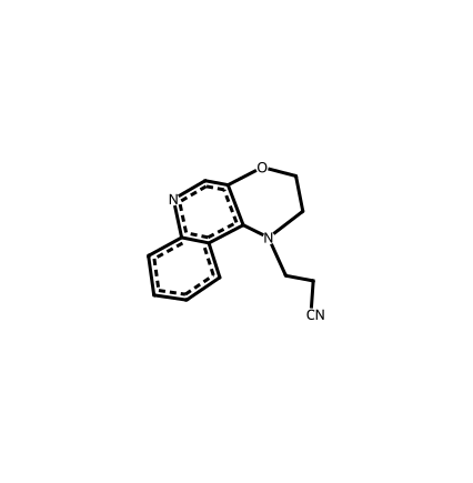 N#CCCN1CCOc2cnc3ccccc3c21